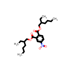 CCCCC(CC)COC(=O)c1ccc([N+](=O)[O-])cc1C(=O)OCC(CC)CCCC